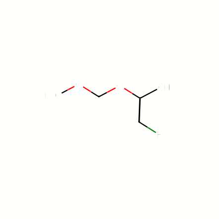 COCOC(C)CF